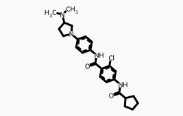 CN(C)C1CCN(c2ccc(NC(=O)c3ccc(NC(=O)C4CCCC4)cc3Cl)cc2)C1